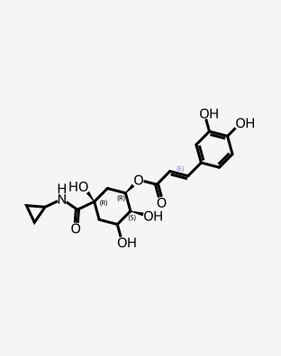 O=C(/C=C/c1ccc(O)c(O)c1)O[C@@H]1C[C@@](O)(C(=O)NC2CC2)CC(O)[C@@H]1O